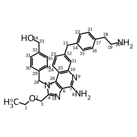 CCOCc1nc2c(N)nc3cc(Cc4ccc(CCN)cc4)ccc3c2n1Cc1ccc(CO)cc1